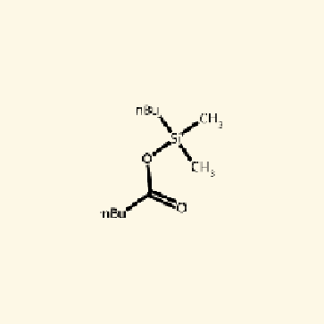 CCC[CH]C(=O)O[Si](C)(C)CCCC